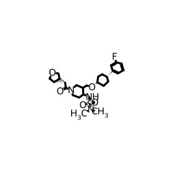 CN(C)S(=O)(=O)NC1CCN(C(=O)C[C@@H]2CCOC2)CC1CO[C@H]1CC[C@@H](c2cccc(F)c2)CC1